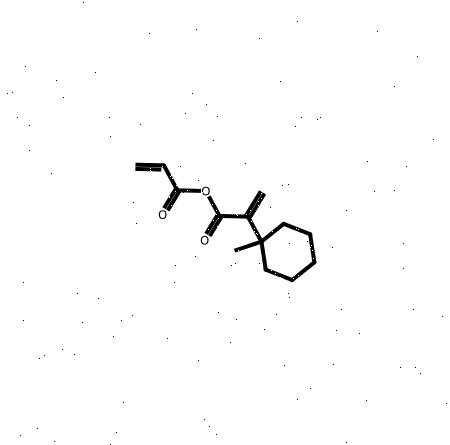 C=CC(=O)OC(=O)C(=C)C1(C)CCCCC1